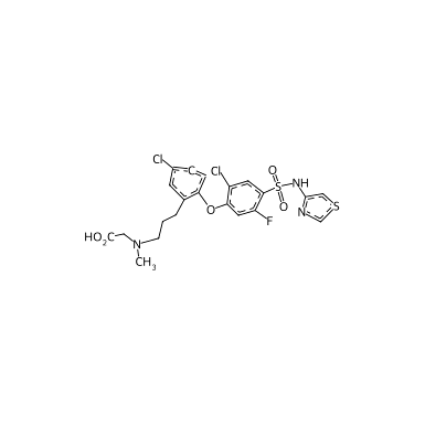 CN(CCCc1cc(Cl)ccc1Oc1cc(F)c(S(=O)(=O)Nc2cscn2)cc1Cl)CC(=O)O